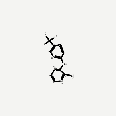 FC(F)(F)c1ccc(Oc2nccnc2Cl)nc1